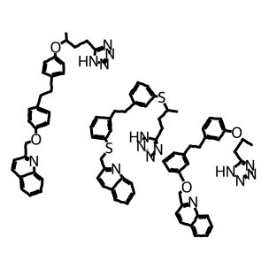 CC(CCc1nnn[nH]1)Oc1ccc(CCc2ccc(OCc3ccc4ccccc4n3)cc2)cc1.CC(CCc1nnn[nH]1)Sc1cccc(CCc2cccc(SCc3ccc4ccccc4n3)c2)c1.CC(Cc1nnn[nH]1)Oc1cccc(CCc2cccc(OCc3ccc4ccccc4n3)c2)c1